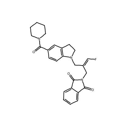 O=C(c1ccc2c(c1)CCN2CC(=CF)CN1C(=O)c2ccccc2C1=O)N1CCCCC1